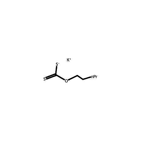 CCCCCOC(=S)[S-].[K+]